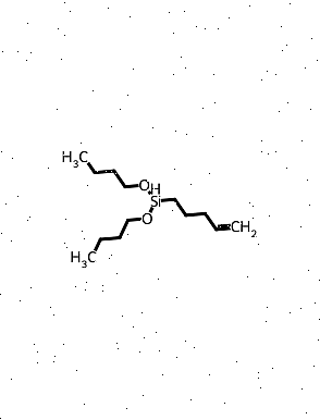 C=CCCC[SiH](OCCCC)OCCCC